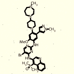 COc1cc(N2CCC(N3CCCN(C)CC3)CC2)c(-c2cnn(C)c2)cc1Nc1ncc(Br)c(Nc2cnc3ccccc3c2P(C)(C)=O)n1